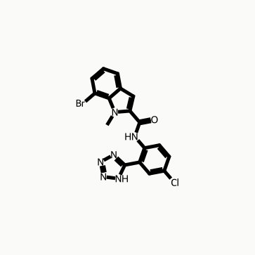 Cn1c(C(=O)Nc2ccc(Cl)cc2-c2nnn[nH]2)cc2cccc(Br)c21